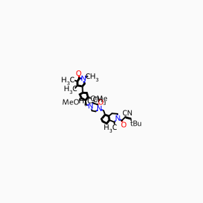 COc1cc(-c2cn(C)c(=O)c(C)c2C)cc(OC)c1CN1CCN(Cc2cccc3c2CCN(C(=O)/C(C#N)=C\C(C)(C)C)C3C)C(=O)C1(C)C